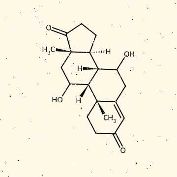 C[C@]12CCC(=O)C=C1CC(O)[C@@H]1[C@H]2C(O)C[C@]2(C)C(=O)CC[C@@H]12